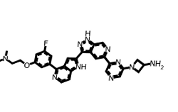 CN(C)CCOc1cc(F)cc(-c2nccc3[nH]c(-c4n[nH]c5cnc(-c6cncc(N7CC(N)C7)n6)cc45)cc23)c1